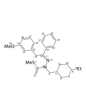 C=C(SC)N(CC1CCC(CC)CC1)/N=C(\Cc1cccc(OC)c1)c1ccccc1